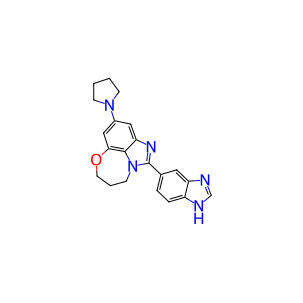 c1nc2cc(-c3nc4cc(N5CCCC5)cc5c4n3CCCO5)ccc2[nH]1